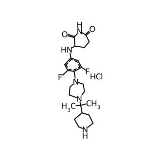 CC(C)(C1CCNCC1)N1CCN(c2c(F)cc(NC3CCC(=O)NC3=O)cc2F)CC1.Cl